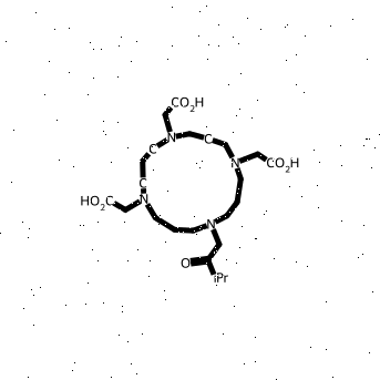 CC(C)C(=O)CN1CCCN(CC(=O)O)CCCN(CC(=O)O)CCCN(CC(=O)O)CCC1